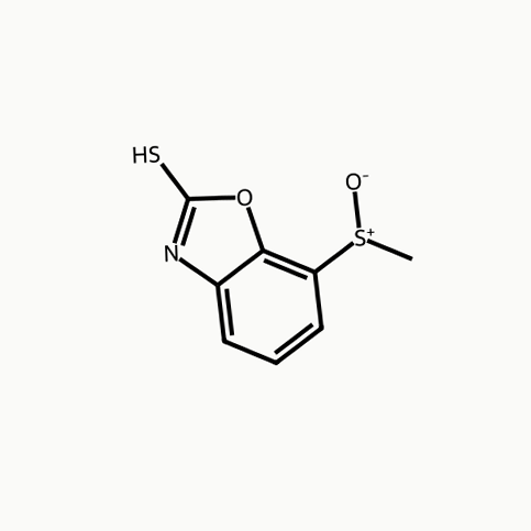 C[S+]([O-])c1cccc2nc(S)oc12